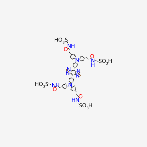 O=C(CCc1ccc(N(c2ccc(CCC(=O)NCCS(=O)(=O)O)cc2)c2ccc(-c3c4c(c(-c5ccc(N(c6ccc(CCC(=O)NCCS(=O)(=O)O)cc6)c6ccc(CCC(=O)NCCS(=O)(=O)O)cc6)cc5)c5nsnc35)N=S=N4)cc2)cc1)NCCS(=O)(=O)O